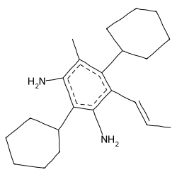 CC=Cc1c(N)c(C2CCCCC2)c(N)c(C)c1C1CCCCC1